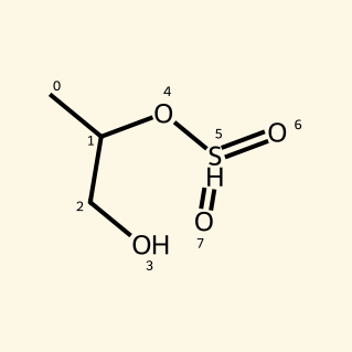 CC(CO)O[SH](=O)=O